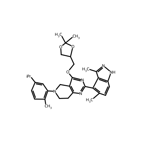 Cc1ccc(C(C)C)cc1N1CCc2nc(-c3c(C)ccc4[nH]nc(C)c34)nc(OCC3COC(C)(C)O3)c2C1